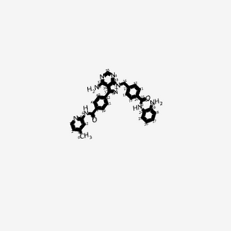 Cc1ccnc(NC(=O)c2ccc(-c3nn(Cc4ccc(C(=O)Nc5ccccc5N)cc4)c4ncnc(N)c34)cc2)c1